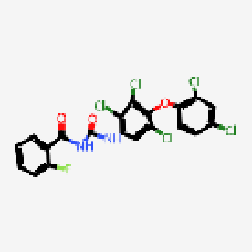 O=C(NC(=O)c1ccccc1F)Nc1cc(Cl)c(Oc2ccc(Cl)cc2Cl)c(Cl)c1Cl